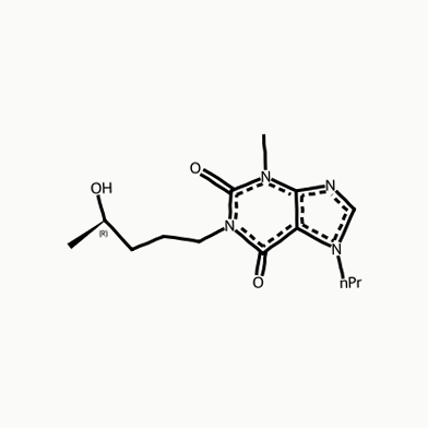 CCCn1cnc2c1c(=O)n(CCC[C@@H](C)O)c(=O)n2C